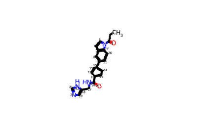 CCC(=O)n1ccc2cc(-c3ccc(C(=O)NCc4cnc[nH]4)cc3)ccc21